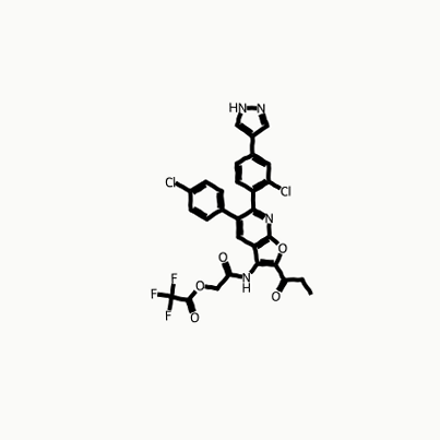 CCC(=O)c1oc2nc(-c3ccc(-c4cn[nH]c4)cc3Cl)c(-c3ccc(Cl)cc3)cc2c1NC(=O)COC(=O)C(F)(F)F